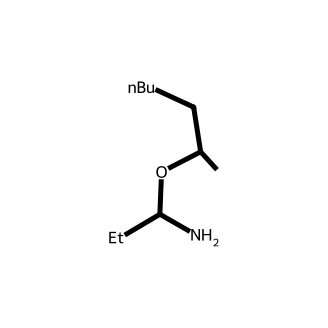 CCCCCC(C)OC(N)CC